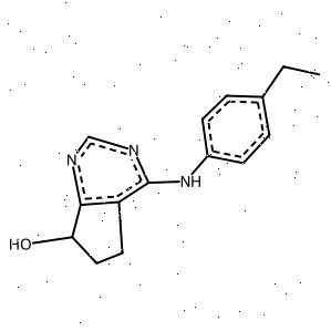 CCc1ccc(Nc2ncnc3c2CCC3O)cc1